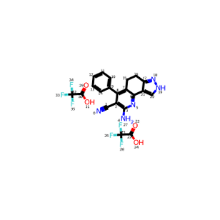 N#Cc1c(N)nc2c(c1-c1ccccc1)CCc1n[nH]cc1-2.O=C(O)C(F)(F)F.O=C(O)C(F)(F)F